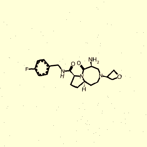 N[C@H]1CN(C2COC2)CC[C@H]2CC[C@@H](C(=O)NCc3ccc(F)cc3)N2C1=O